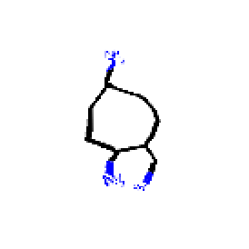 N=CC1CCC(N)CCC1N